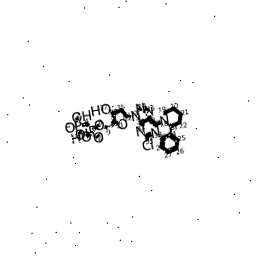 O=P(O)(O)CP(=O)(O)OC[C@H]1O[C@@H](n2nnc3c(N4CCCC[C@H]4c4ccccc4)nc(Cl)nc32)C[C@@H]1O